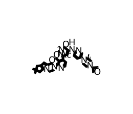 CC(=O)OCc1c(-c2cc(Nc3ccc(N4CCN(C5COC5)C[C@@H]4C)cn3)c(=O)n(C)n2)ccnc1N1CCn2c(cc3c2CC(C)(C)C3)C1=O